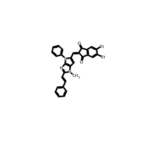 CCc1cc2c(cc1CC)C(=O)C(=Cc1cc3c(nc(/C=C/c4ccccc4)n3C)n1-c1ccccc1)C2=O